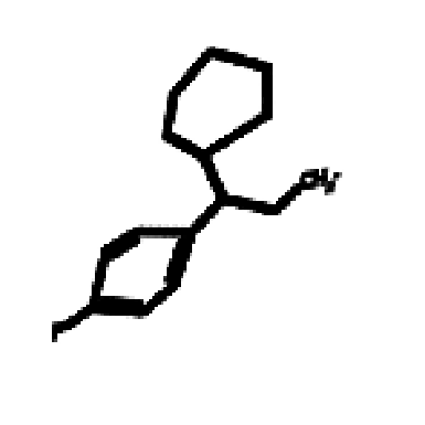 [CH2]CC(c1ccc(F)cc1)C1CCCCC1